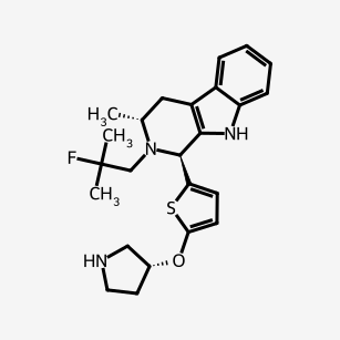 C[C@@H]1Cc2c([nH]c3ccccc23)[C@@H](c2ccc(O[C@@H]3CCNC3)s2)N1CC(C)(C)F